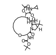 CC(=O)OC(C(=O)NC1CC1)[C@@H]1CCCCCCCOC[C@H](NC(=O)OC(C)(C)C)C(=O)N2C[C@H]3[C@@H]([C@H]2C(=O)N1)C3(C)C